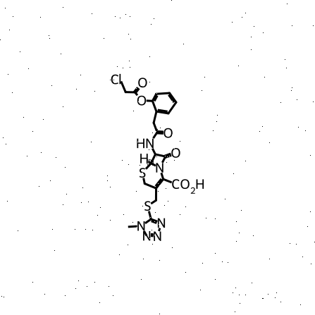 Cn1nnnc1SCC1=C(C(=O)O)N2C(=O)C(NC(=O)Cc3ccccc3OC(=O)CCl)[C@H]2SC1